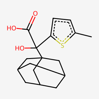 Cc1ccc(C(O)(C(=O)O)C23CC4CC(CC(C4)C2)C3)s1